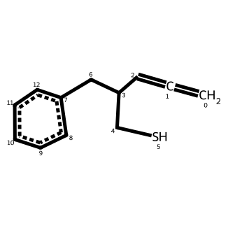 C=C=CC(CS)Cc1ccccc1